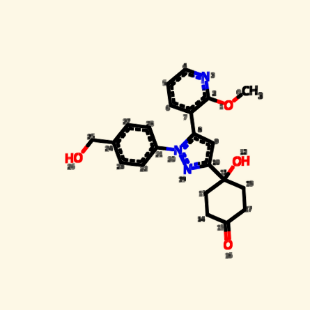 COc1ncccc1-c1cc(C2(O)CCC(=O)CC2)nn1-c1ccc(CO)cc1